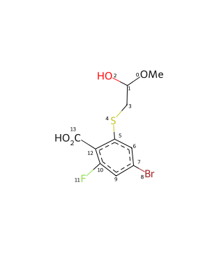 COC(O)CSc1cc(Br)cc(F)c1C(=O)O